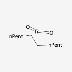 [CH2]CCCCCCCCCCC.[O]=[Ti]=[O]